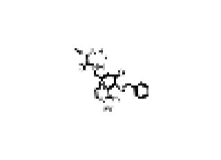 CC(C)[C@H](N)C(=O)NCc1cc(=O)c(OCc2ccccc2)c2n1CCN(C(C)C)C2=O